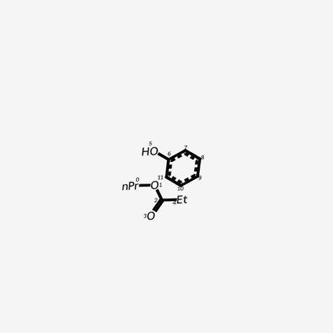 CCCOC(=O)CC.Oc1ccccc1